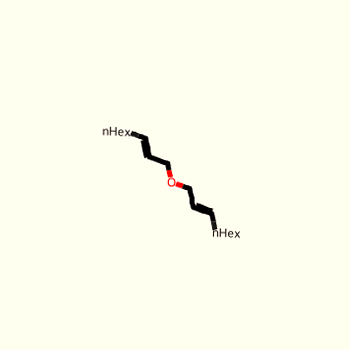 CCCCCCC=CCOCC=CCCCCCC